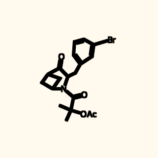 CC(=O)OC(C)(C)C(=O)N1C2CC(C2)C(=O)C1Cc1cccc(Br)c1